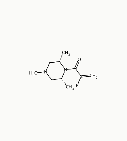 C=C(F)C(=O)N1[C@H](C)CN(C)C[C@@H]1C